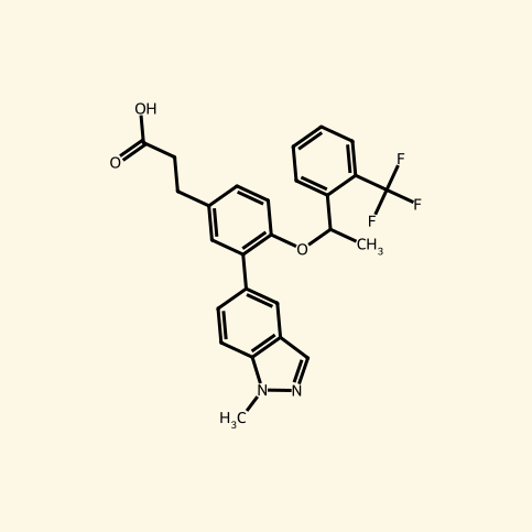 CC(Oc1ccc(CCC(=O)O)cc1-c1ccc2c(cnn2C)c1)c1ccccc1C(F)(F)F